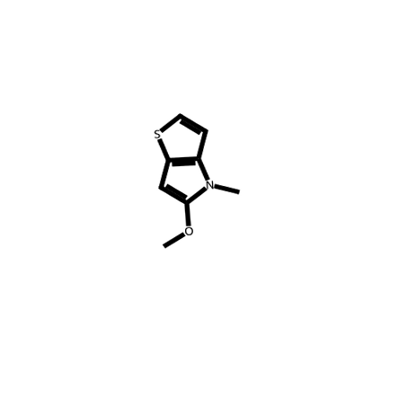 COc1cc2sccc2n1C